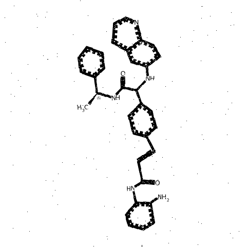 C[C@H](NC(=O)C(Nc1ccc2ncccc2c1)c1ccc(C=CC(=O)Nc2ccccc2N)cc1)c1ccccc1